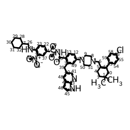 CC1(C)CCC(CN2CCN(c3ccc(C(=O)NS(=O)(=O)c4ccc(NCC5CCCCC5)c([N+](=O)[O-])c4)c(Cc4cnc5[nH]ccc5c4)c3)CC2)=C(c2ccc(Cl)cc2)C1